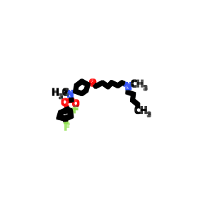 CCCCCN(C)CCCCCCO[C@H]1CC[C@H](N(C)C(=O)Oc2ccc(F)cc2F)CC1